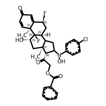 C[C@]12C[C@H](O)[C@@]3(F)[C@@H](C[C@H](F)C4=CC(=O)C=C[C@@]43C)C1CC(N(O)c1ccc(Cl)cc1)[C@@H]2C(=O)COC(=O)c1ccccc1